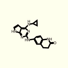 O=C1CCc2cc(Nc3nc(NC4CC4)c4cc[nH]c4n3)ccc2N1